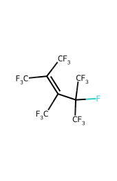 FC(F)(F)C(=C(C(F)(F)F)C(F)(C(F)(F)F)C(F)(F)F)C(F)(F)F